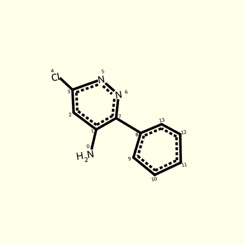 Nc1cc(Cl)nnc1-c1ccccc1